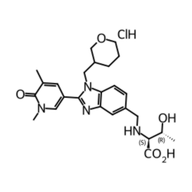 Cc1cc(-c2nc3cc(CN[C@H](C(=O)O)[C@@H](C)O)ccc3n2CC2CCCOC2)cn(C)c1=O.Cl